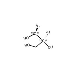 [2H][13C@H](O)[13C@@]([2H])(O)CO